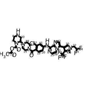 CC(=O)OC(=O)N1CCNCC1N1CCN(C(=O)c2ccc(Nc3nccn4c(-c5cn(CC(F)F)nc5C(F)(F)F)cnc34)cc2Cl)CC1